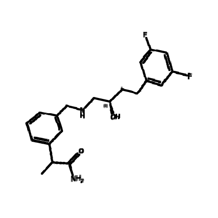 CC(C(N)=O)c1cccc(CNC[C@H](O)[CH]Cc2cc(F)cc(F)c2)c1